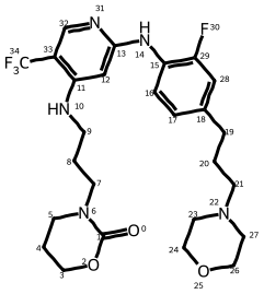 O=C1OCCCN1CCCNc1cc(Nc2ccc(CCCN3CCOCC3)cc2F)ncc1C(F)(F)F